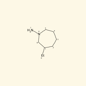 CCC1CCCCN(N)C1